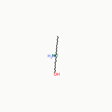 CCCCCCCCCCCCC(N)CCCCCCCCCCO.Cl